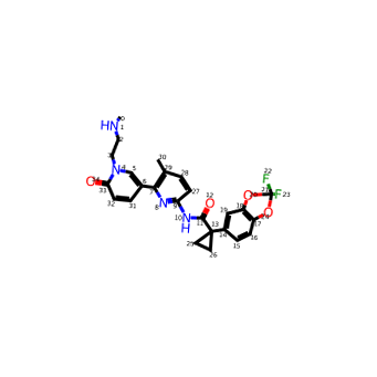 CNCCn1cc(-c2nc(NC(=O)C3(c4ccc5c(c4)OC(F)(F)O5)CC3)ccc2C)ccc1=O